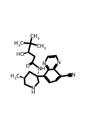 C[C@@H]1CNC[C@](NC(=O)C[C@@H](O)C(C)(C)C)(c2ccc(C#N)c3nccnc23)C1